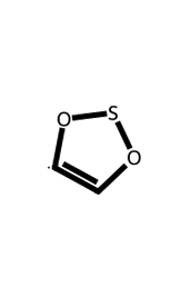 [C]1=COSO1